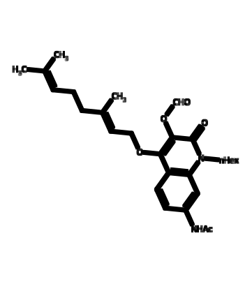 CCCCCCn1c(=O)c(OC=O)c(OC/C=C(\C)CCC=C(C)C)c2ccc(NC(C)=O)cc21